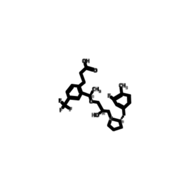 Cc1ccc(C[C@@H]2CCCN2C[C@@H](O)CO[C@H](C)c2cc(C(F)(F)F)ccc2CCC(=O)O)cc1F